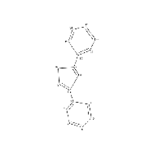 [C]1=C(c2ccccc2)C=C(c2ccccc2)C1